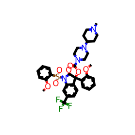 COc1ccccc1C1(OC(=O)N2CCN(C3CCN(C)CC3)CC2)C(=O)N(S(=O)(=O)c2ccccc2OC)c2cc(C(F)(F)F)ccc21